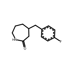 O=C1CC(Cc2ccc(F)cc2)CCCN1